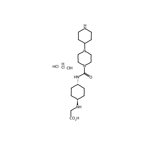 Cl.Cl.Cl.O=C(O)CN[C@H]1CC[C@H](NC(=O)N2CCN(C3CCNCC3)CC2)CC1